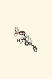 CC(C)(C(=O)NC1C2CC3CC1CC(C(N)=O)(C3)C2)c1cccc(OCCN2CCOCC2)c1